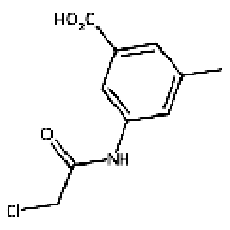 Cc1cc(NC(=O)CCl)cc(C(=O)O)c1